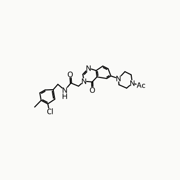 CC(=O)N1CCN(c2ccc3ncn(CC(=O)NCc4ccc(C)c(Cl)c4)c(=O)c3c2)CC1